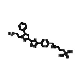 CCCN1N=C(c2nc(-c3ccc(CNCCCP(=O)(O)O)cc3)no2)CC1c1ccccc1